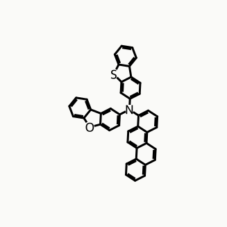 c1ccc2c(c1)ccc1c3cccc(N(c4ccc5c(c4)sc4ccccc45)c4ccc5oc6ccccc6c5c4)c3ccc21